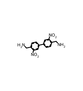 NCc1ccc(-c2ccc(CN)c([N+](=O)[O-])c2)cc1[N+](=O)[O-]